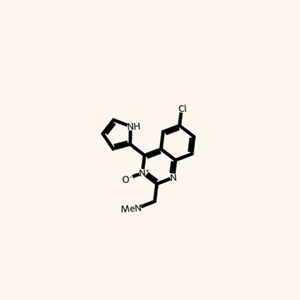 CNCc1nc2ccc(Cl)cc2c(-c2ccc[nH]2)[n+]1[O-]